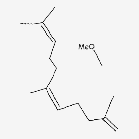 C=C(C)CCC=C(C)CCC=C(C)C.COC